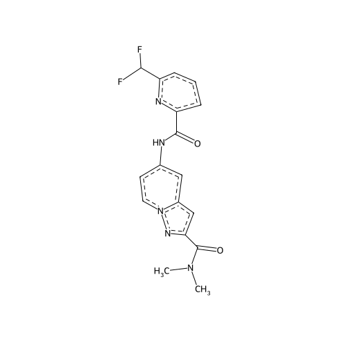 CN(C)C(=O)c1cc2cc(NC(=O)c3cccc(C(F)F)n3)ccn2n1